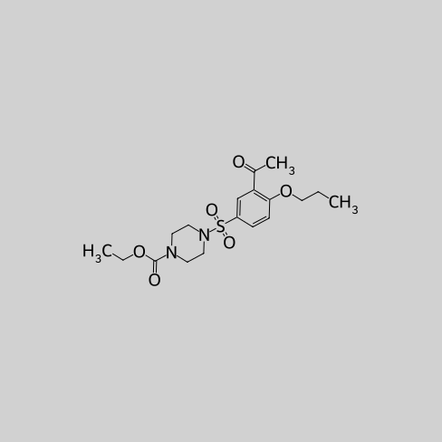 CCCOc1ccc(S(=O)(=O)N2CCN(C(=O)OCC)CC2)cc1C(C)=O